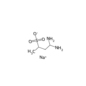 CC(CC(N)N)S(=O)(=O)[O-].[Na+]